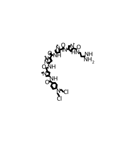 Cn1cc(NC(=O)c2cc(NC(=O)c3cc(NC(=O)c4cc(NC(=O)c5ccc(N(CCCl)CCCl)cc5)cn4C)nn3C)cn2C)cc1C(=O)NCCC(=N)N